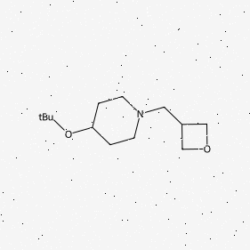 CC(C)(C)OC1CCN(CC2COC2)CC1